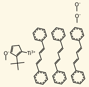 C(C=Cc1ccccc1)=Cc1ccccc1.C(C=Cc1ccccc1)=Cc1ccccc1.C(C=Cc1ccccc1)=Cc1ccccc1.CC(C)(C)C1=[C]([Ti+3])CC=C1.C[O-].C[O-].C[O-]